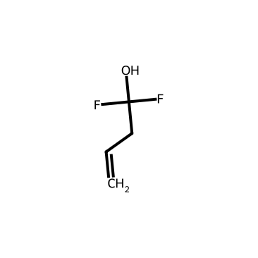 C=CCC(O)(F)F